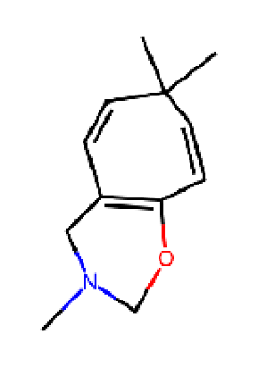 CN1COC2=C(C=CC(C)(C)C=C2)C1